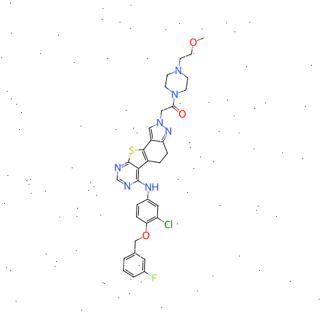 COCCN1CCN(C(=O)Cn2cc3c(n2)CCc2c-3sc3ncnc(Nc4ccc(OCc5cccc(F)c5)c(Cl)c4)c23)CC1